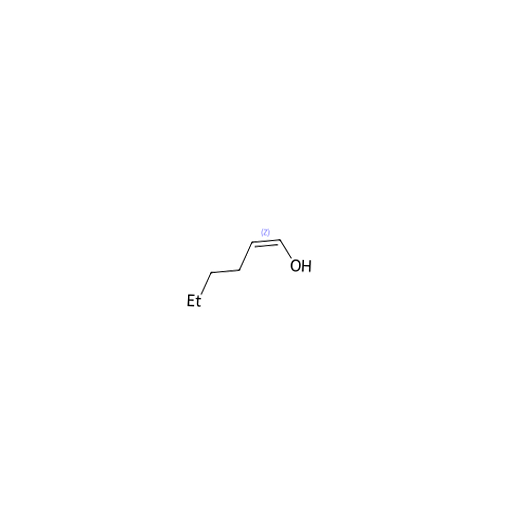 CCCC/C=C\O